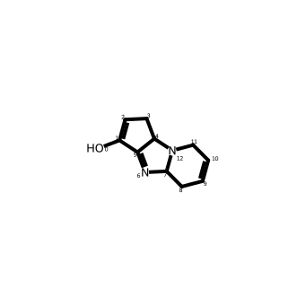 OC1=CCC2C1=NC1CC=CCN12